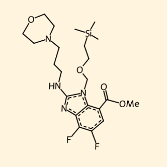 COC(=O)c1cc(F)c(F)c2nc(NCCCN3CCOCC3)n(COCC[Si](C)(C)C)c12